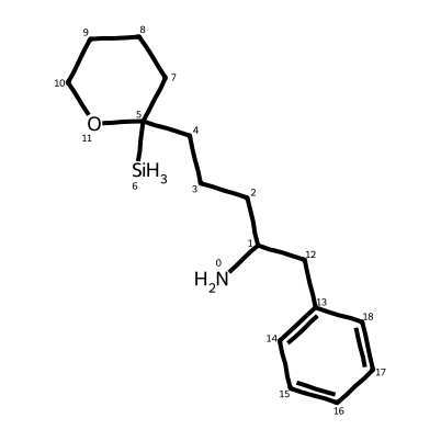 NC(CCCC1([SiH3])CCCCO1)Cc1ccccc1